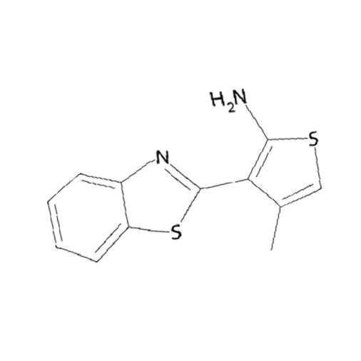 Cc1csc(N)c1-c1nc2ccccc2s1